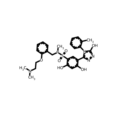 Cc1ccccc1-n1c(O)nnc1-c1cc(S(=O)(=O)N(C)Cc2ccccc2OCCN(C)C)c(O)cc1O